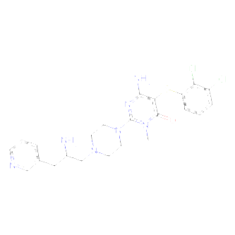 Cn1c(N2CCN(CC(N)Cc3cccnc3)CC2)nc(N)c(Sc2cccc(Cl)c2Cl)c1=O